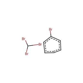 BrC(Br)Br.Brc1ccccc1